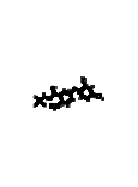 C[Si](C)(C)COC(=O)c1cc(Oc2ccc(C(F)(F)F)cc2Cl)ccc1[N+](=O)[O-]